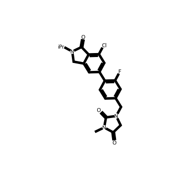 CC(C)N1Cc2cc(-c3ccc(CN4CC(=O)N(C)C4=O)cc3F)cc(Cl)c2C1=O